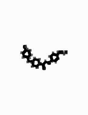 O=C(COc1ccc(S(=O)(=O)O)cc1)N1CCN(Cc2ccc(Cl)cc2)CC1